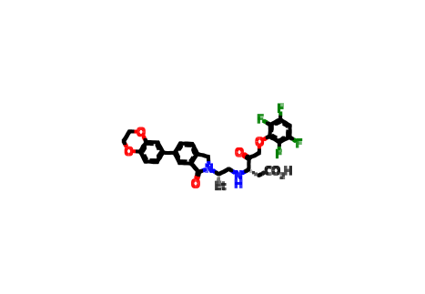 CC[C@@H](CN[C@@H](CC(=O)O)C(=O)COc1c(F)c(F)cc(F)c1F)N1Cc2ccc(-c3ccc4c(c3)OCCO4)cc2C1=O